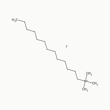 CCCCCCCCCCCCC[N+](C)(C)C.[I-]